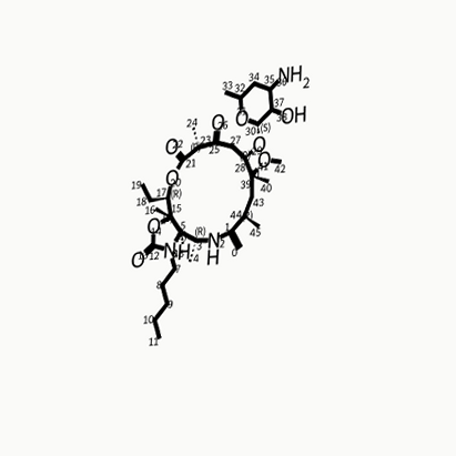 C=C1N[C@H](C)[C@H]2N(CCCCC)C(=O)O[C@]2(C)[C@@H](CC)OC(=O)[C@H](C)C(=O)C[C@@H](O[C@@H]2OC(C)CC(N)C2O)[C@](C)(OC)C[C@H]1C